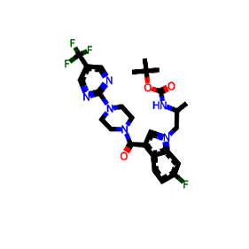 CC(Cn1cc(C(=O)N2CCN(c3ncc(C(F)(F)F)cn3)CC2)c2ccc(F)cc21)NC(=O)OC(C)(C)C